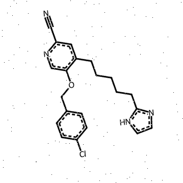 N#Cc1cc(CCCCCc2ncc[nH]2)c(OCc2ccc(Cl)cc2)cn1